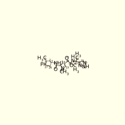 Cc1cc(NC(=O)c2cc(C(=O)C(=O)NC(C)(C)c3cn[nH]n3)cn2C)ccc1F